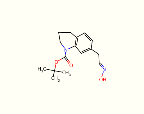 CC(C)(C)OC(=O)N1CCCc2ccc(CC=NO)cc21